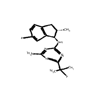 C[C@H]1Cc2ccc(F)cc2[C@@H]1Nc1nc(N)nc(C(C)(C)F)n1